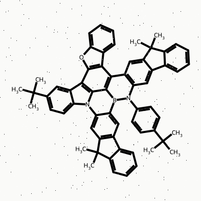 CC(C)(C)c1ccc(N2B3c4cc5c(cc4-n4c6ccc(C(C)(C)C)cc6c6c7oc8ccccc8c7c(c3c64)-c3cc4c(cc32)-c2ccccc2C4(C)C)C(C)(C)c2ccccc2-5)cc1